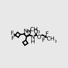 Cn1nc(C2CC(F)(F)C2)c(C2CCC2)c1NC(=O)OCC(C)(F)F